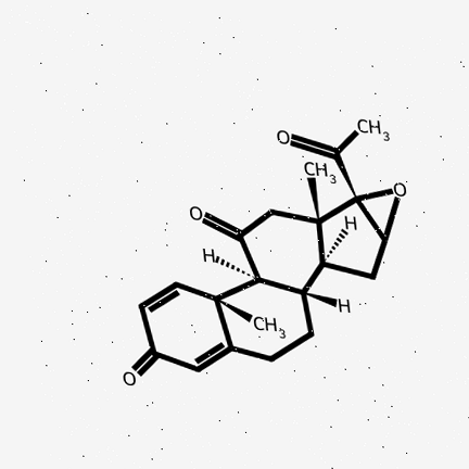 CC(=O)[C@@]12OC1C[C@H]1[C@@H]3CCC4=CC(=O)C=C[C@]4(C)[C@H]3C(=O)C[C@@]12C